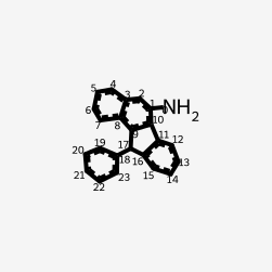 Nc1cc2ccccc2c2c1-c1ccccc1C2c1ccccc1